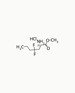 CCCC(F)(F)C[C@H](N)C(=O)OC.Cl